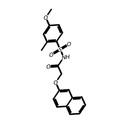 COc1ccc(S(=O)(=O)NC(=O)COc2ccc3ccccc3c2)c(C)c1